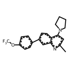 Cc1cc(N2CCCC2)c2ccc(-c3ccc(OC(F)(F)F)cc3)cc2n1